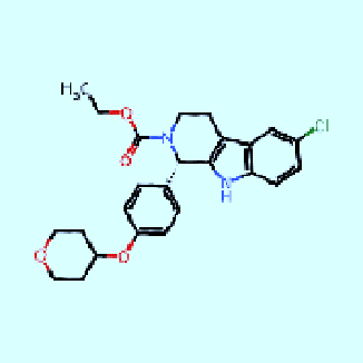 CCOC(=O)N1CCc2c([nH]c3ccc(Cl)cc23)[C@@H]1c1ccc(OC2CCOCC2)cc1